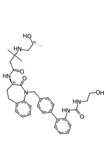 C[C@@H](O)CNC(C)(C)CC(=O)N[C@@H]1CCc2ccccc2N(Cc2ccc(-c3ccccc3NC(=O)NCCO)cc2)C1=O